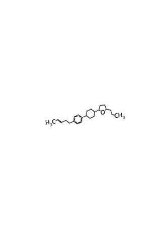 C/C=C/CCc1ccc(C2CCC(C3CCC(CCC)O3)CC2)cc1